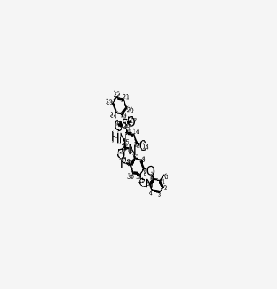 Cc1ccccc1Oc1cc(-n2c(=O)cc(S(=O)(=O)c3ccccc3)[nH]c2=O)c(F)cc1C#N